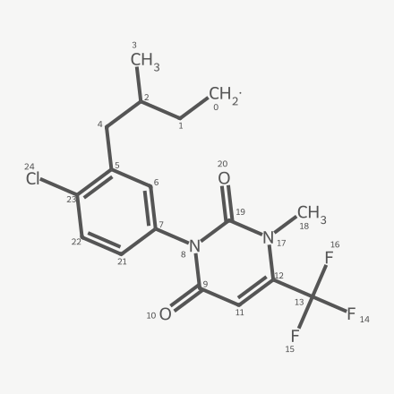 [CH2]CC(C)Cc1cc(-n2c(=O)cc(C(F)(F)F)n(C)c2=O)ccc1Cl